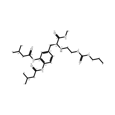 CCCOC(=O)OCCN[C@@H](Cc1ccc(OC(=O)CC(C)C)c(OC(=O)CC(C)C)c1)C(=O)OC